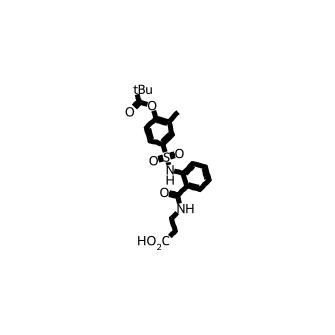 Cc1cc(S(=O)(=O)Nc2ccccc2C(=O)NCCC(=O)O)ccc1OC(=O)C(C)(C)C